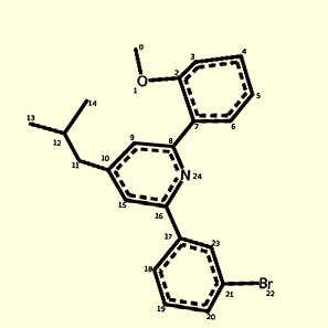 COc1ccccc1-c1cc(CC(C)C)cc(-c2cccc(Br)c2)n1